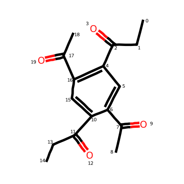 CCC(=O)c1cc(C(C)=O)c(C(=O)CC)cc1C(C)=O